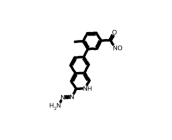 Cc1ccc(C(=O)N=O)cc1-c1ccc2c(c1)=CNC(N=NN)C=2